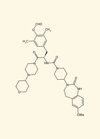 COc1ccc2c(c1)CCN(C1CCN(C(=O)N[C@H](Cc3cc(C)c(OC=O)c(C)c3)C(=O)N3CCN(C4CCOCC4)CC3)CC1)C(=O)N2